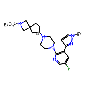 CCOC(=O)N1CC2(CC[C@@H](N3CCN(c4ncc(F)cc4-c4ccn(C(C)C)n4)CC3)C2)C1